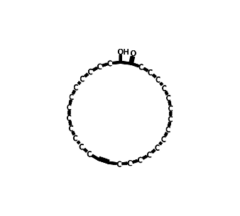 O=C1CCCCCCCCCCCCCC/C=C\CCCCCCCCCCCCC1O